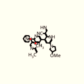 C=C(/C=N\C(C)=C/C)CN1C2CC1CN(c1ccc(C3=CC(N4CCC(OC)C4)=CN/C3=C(/C#N)C=N)cn1)C2